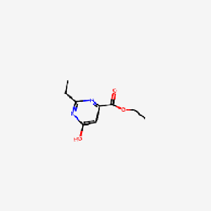 CCOC(=O)c1cc(O)nc(CC)n1